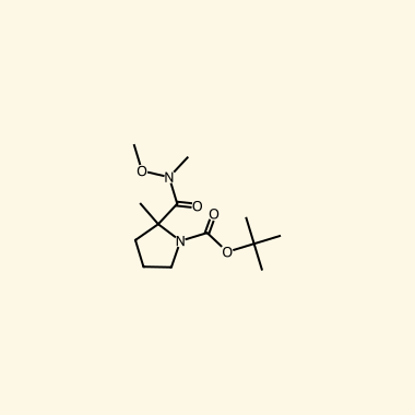 CON(C)C(=O)C1(C)CCCN1C(=O)OC(C)(C)C